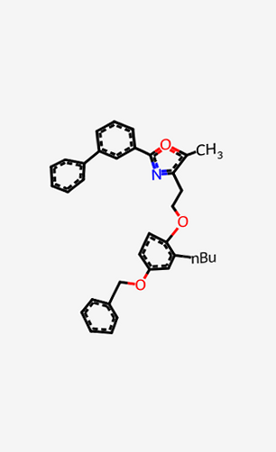 CCCCc1cc(OCc2ccccc2)ccc1OCCc1nc(-c2cccc(-c3ccccc3)c2)oc1C